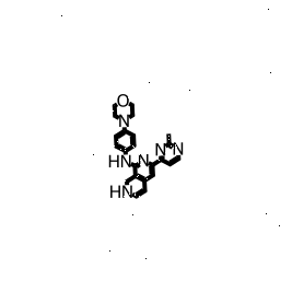 Cc1nccc(-c2cc3c(c(Nc4ccc(N5CCOCC5)cc4)n2)CNC=C3)n1